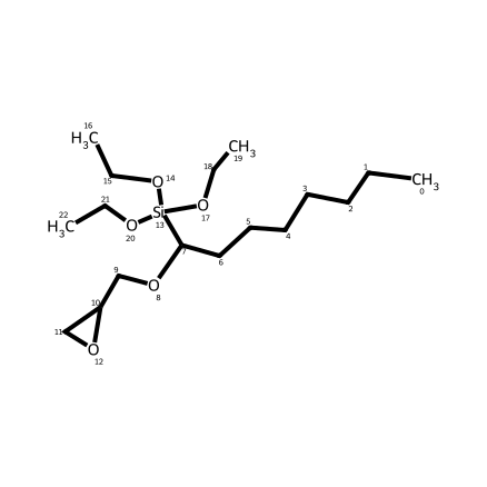 CCCCCCCC(OCC1CO1)[Si](OCC)(OCC)OCC